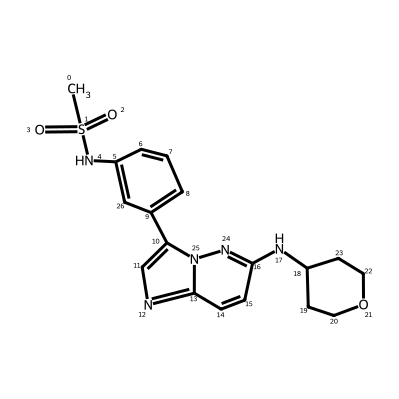 CS(=O)(=O)Nc1cccc(-c2cnc3ccc(NC4CCOCC4)nn23)c1